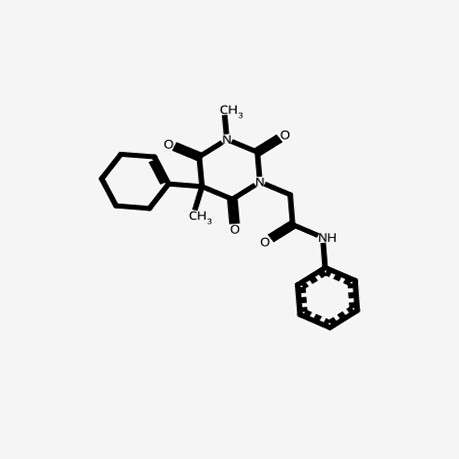 CN1C(=O)N(CC(=O)Nc2ccccc2)C(=O)C(C)(C2=CCCCC2)C1=O